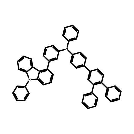 c1ccc(-c2ccc(-c3ccc(N(c4ccccc4)c4cccc(-c5cccc6c5c5ccccc5n6-c5ccccc5)c4)cc3)cc2-c2ccccc2)cc1